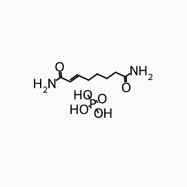 NC(=O)C=CCCCCC(N)=O.O=P(O)(O)O